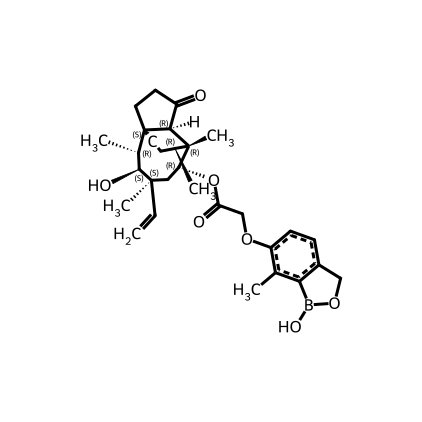 C=C[C@]1(C)C[C@@H](OC(=O)COc2ccc3c(c2C)B(O)OC3)[C@]2(C)[C@H](C)CC[C@]3(CCC(=O)[C@H]32)[C@@H](C)[C@@H]1O